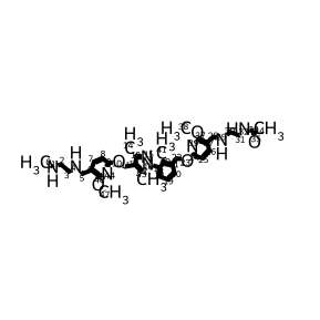 CNCCNCc1ccc(OCc2c(C)nn(-c3cccc(COc4ccc(CNCCNC(C)=O)c(OC)n4)c3C)c2C)nc1OC